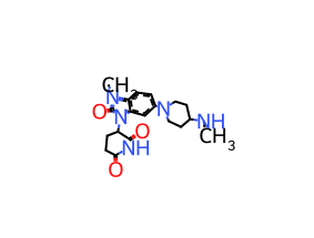 CNC1CCN(c2ccc3c(c2)n(C2CCC(=O)NC2=O)c(=O)n3C)CC1